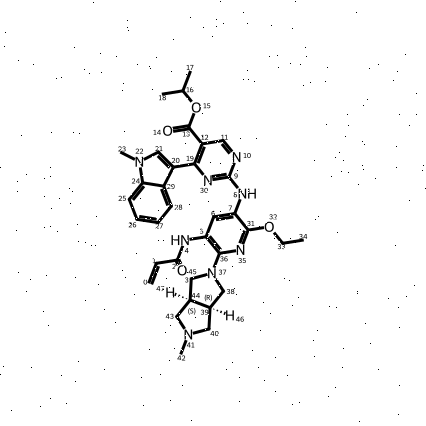 C=CC(=O)Nc1cc(Nc2ncc(C(=O)OC(C)C)c(-c3cn(C)c4ccccc34)n2)c(OCC)nc1N1C[C@H]2CN(C)C[C@H]2C1